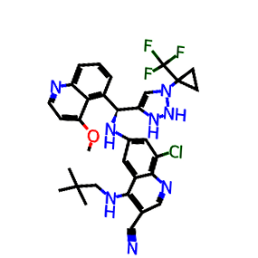 COc1ccnc2cccc([C@H](Nc3cc(Cl)c4ncc(C#N)c(NCC(C)(C)C)c4c3)C3=CN(C4(C(F)(F)F)CC4)NN3)c12